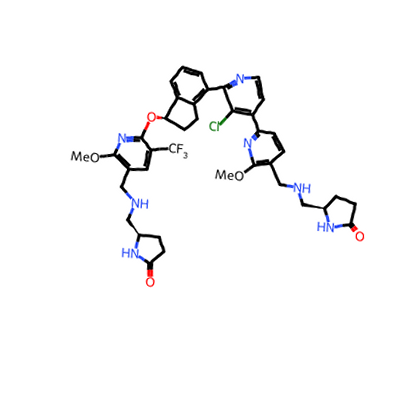 COc1nc(-c2ccnc(-c3cccc4c3CC[C@H]4Oc3nc(OC)c(CNC[C@H]4CCC(=O)N4)cc3C(F)(F)F)c2Cl)ccc1CNC[C@H]1CCC(=O)N1